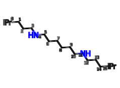 CC(C)CCCNCCCCCCNCCCC(C)C